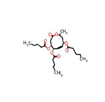 CCCCC(=O)OC1C=CC(OC(=O)CCCC)C(OC(=O)CCCC)CC(=O)OC(C)C1